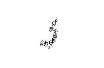 O=Cc1cc(N2CCC(N3CC(CCOc4ccc([C@@H]5c6ccc(OCc7ccccc7)cc6CC[C@@H]5C5C=CC=CC5)cc4)C3)CC2)ccc1C(=O)O